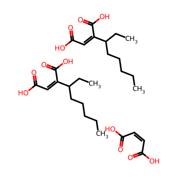 CCCCCC(CC)/C(=C/C(=O)O)C(=O)O.CCCCCC(CC)/C(=C/C(=O)O)C(=O)O.O=C(O)/C=C\C(=O)O